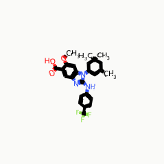 COc1cc2c(cc1C(=O)O)nc(Nc1ccc(C(F)(F)F)cc1)n2C1CC(C)CC(C)(C)C1